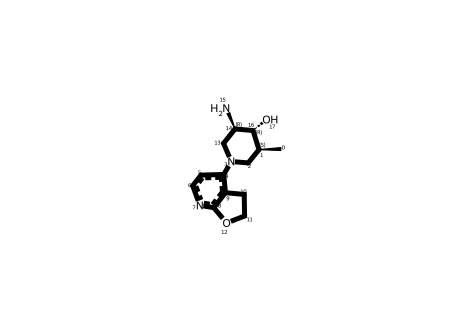 C[C@H]1CN(c2ccnc3c2CCO3)C[C@@H](N)[C@@H]1O